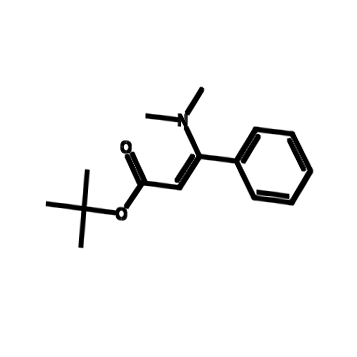 CN(C)/C(=C\C(=O)OC(C)(C)C)c1ccccc1